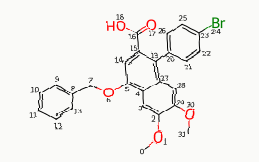 COc1cc2c(OCc3ccccc3)cc(C(=O)O)c(-c3ccc(Br)cc3)c2cc1OC